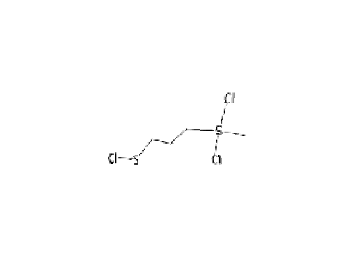 CS(Cl)(Cl)CCCSCl